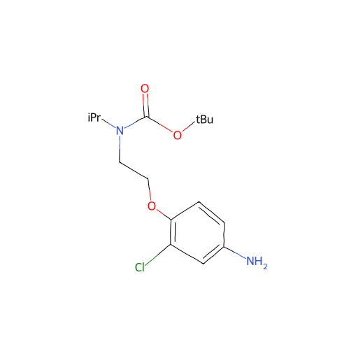 CC(C)N(CCOc1ccc(N)cc1Cl)C(=O)OC(C)(C)C